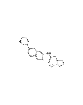 Cc1nccn1CC(=O)Nc1cc2cc(-c3cccnc3)ccc2cn1